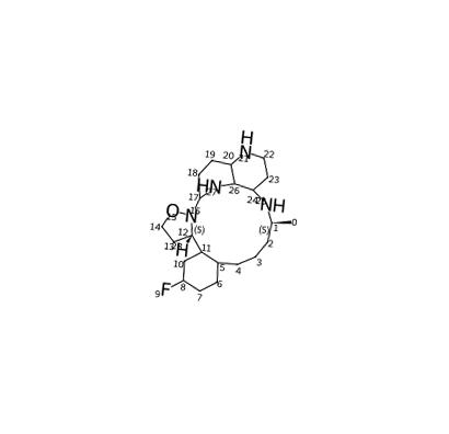 C[C@H]1CCCC2CCC(F)CC2[C@@H]2CCON2C2CCC3NCCC(N1)C3N2